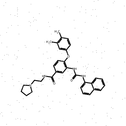 Cc1ccc(Oc2ccc(C(=O)NCCN3CCCC3)cc2NC(=O)Nc2cccc3ccccc23)cc1C